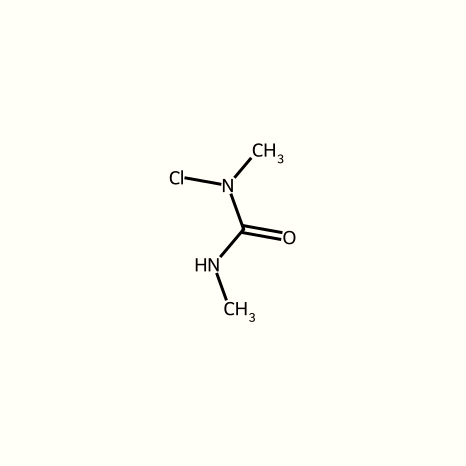 CNC(=O)N(C)Cl